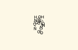 COC(OC)C1CCN(c2cc(C(C(=O)N3C[C@H](O)C[C@H]3C(=O)N[C@@H](C)c3ccc(C#N)cc3)C(C)C)on2)CC1